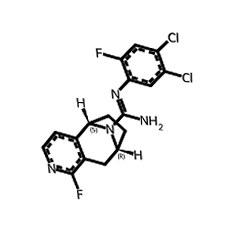 NC(=Nc1cc(Cl)c(Cl)cc1F)N1[C@@H]2CC[C@H]1c1ccnc(F)c1C2